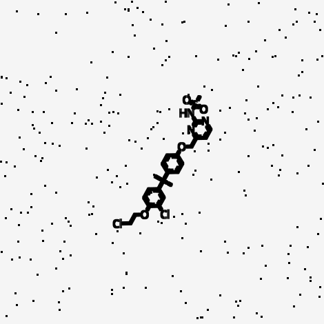 CC(C)(c1ccc(OCc2ccnc(NS(C)(=O)=O)n2)cc1)c1ccc(OCCCl)c(Cl)c1